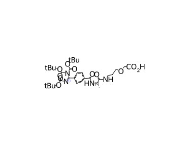 C[C@H](NC(=O)c1ccc(/C(=N/C(=O)OC(C)(C)C)N(C(=O)OC(C)(C)C)C(=O)OC(C)(C)C)cc1)C(=O)NCCCOCC(=O)O